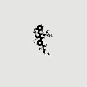 CCCNC(=O)c1ccc(C)c(-c2nc([S+](C)[O-])nc3c2CC[NH+]([O-])C3c2c(F)cccc2F)c1